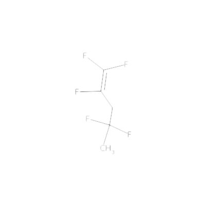 CC(F)(F)CC(F)=C(F)F